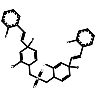 O=S(=O)(CC1C=CC(F)(/C=C/c2ccccc2F)C=C1Cl)CC1C=CC(F)(/C=C/c2ccccc2F)C=C1Cl